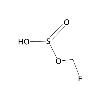 O=S(O)OCF